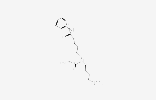 CNCCCCN(CCCCCC(=O)Nc1ccccc1)C(=O)OC(C)(C)C